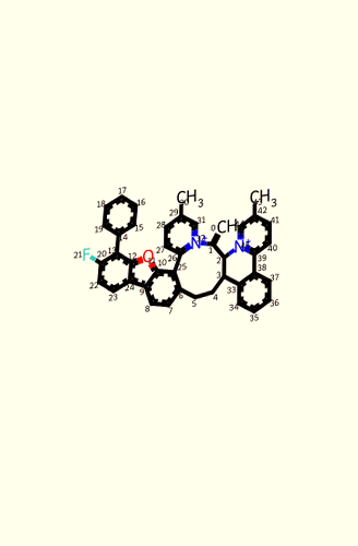 C=C1C2C(CCc3ccc4c(oc5c(-c6ccccc6)c(F)ccc54)c3-c3ccc(C)c[n+]31)c1ccccc1-c1ccc(C)c[n+]12